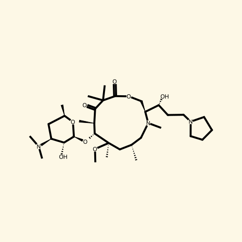 CO[C@]1(C)C[C@@H](C)CN(C)[C@H]([C@H](O)CCN2CCCC2)COC(=O)C(C)(C)C(=O)[C@H](C)[C@H]1O[C@@H]1O[C@H](C)C[C@H](N(C)C)[C@H]1O